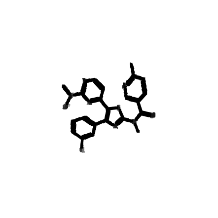 Cc1ccc(C(=O)N(C)c2nc(-c3cccc(Cl)c3)c(-c3ccnc([S+](C)[O-])n3)s2)cn1